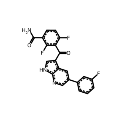 NC(=O)c1ccc(F)c(C(=O)c2c[nH]c3ncc(-c4cccc(F)c4)cc23)c1F